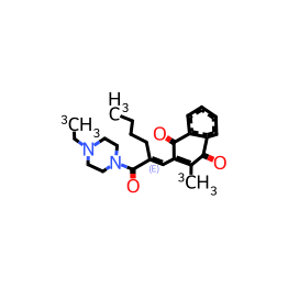 CCCC/C(=C\C1=C([3CH3])C(=O)c2ccccc2C1=O)C(=O)N1CCN(C[3CH3])CC1